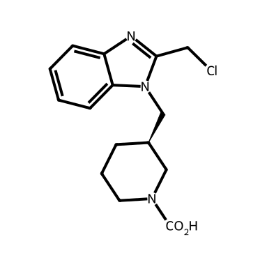 O=C(O)N1CCC[C@@H](Cn2c(CCl)nc3ccccc32)C1